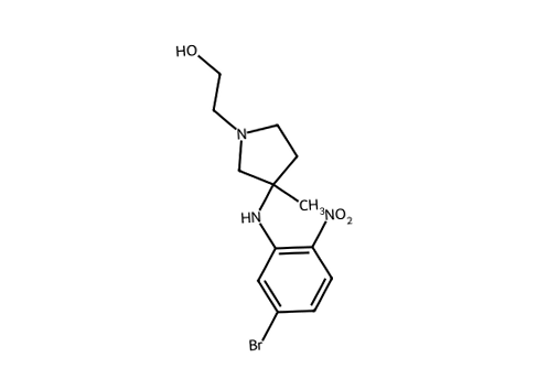 CC1(Nc2cc(Br)ccc2[N+](=O)[O-])CCN(CCO)C1